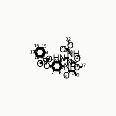 CCC(=O)Nc1ccc(OS(=O)(=O)c2ccccc2)cc1NC(=NC(=O)OC)NC(=O)OC